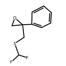 FC(F)SCC1(c2ccccc2)CO1